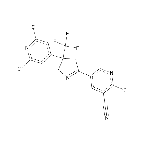 N#Cc1cc(C2=NCC(c3cc(Cl)nc(Cl)c3)(C(F)(F)F)C2)cnc1Cl